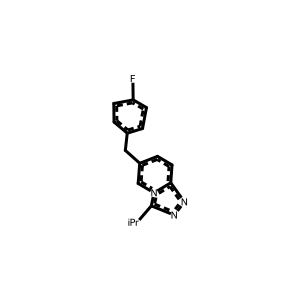 CC(C)c1nnc2ccc(Cc3ccc(F)cc3)cn12